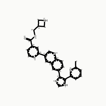 Cc1cccc(-c2[nH]cnc2-c2ccc3ncc(-c4cc(C(=O)OCC5CNC5)ccn4)cc3c2)n1